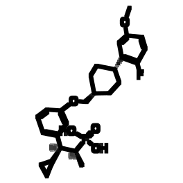 COc1ccc(F)c([C@H]2CC[C@H](COc3cccc([C@H](C4CC4)[C@H](C)P(=O)(O)O)c3)CC2)c1